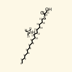 CCCCCCCCCCCCCCCCCCSC(=O)CO.[CH3][SnH]([CH3])[CH3]